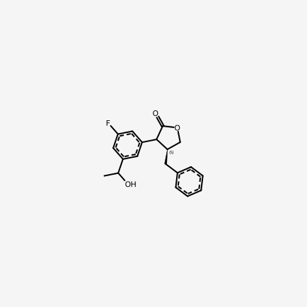 CC(O)c1cc(F)cc(C2C(=O)OC[C@H]2Cc2ccccc2)c1